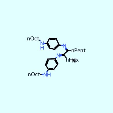 CCCCCCCCNc1ccc(N=C(CCCCC)C(CCCCCC)=Nc2ccc(NCCCCCCCC)cc2)cc1.[Ni]